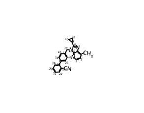 Cc1ccnc2c1nc(C1CC1)n2Cc1ccc(-c2ccccc2C#N)cc1